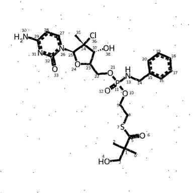 CC(C)(CO)C(=O)SCCOP(=O)(NCc1ccccc1)OCC1O[C@@H](n2ccc(N)nc2=O)[C@](C)(Cl)[C@@H]1O